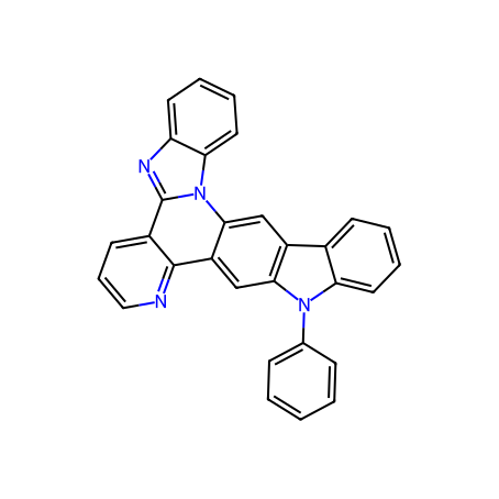 c1ccc(-n2c3ccccc3c3cc4c(cc32)c2ncccc2c2nc3ccccc3n42)cc1